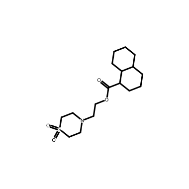 O=C(OCCN1CCS(=O)(=O)CC1)C1CCCC2CCCCC21